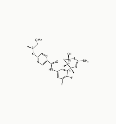 COC[C@H](C)Oc1cnc(C(=O)Nc2cc(F)c(F)c([C@@]3(C)N=C(N)S[C@@]4(C#N)C[C@H]43)c2)cn1